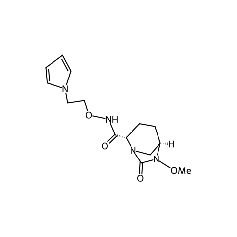 CON1C(=O)N2C[C@H]1CC[C@H]2C(=O)NOCCn1cccc1